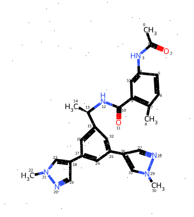 CC(=O)Nc1ccc(C)c(C(=O)N[C@H](C)c2cc(-c3cnn(C)c3)cc(-c3cnn(C)c3)c2)c1